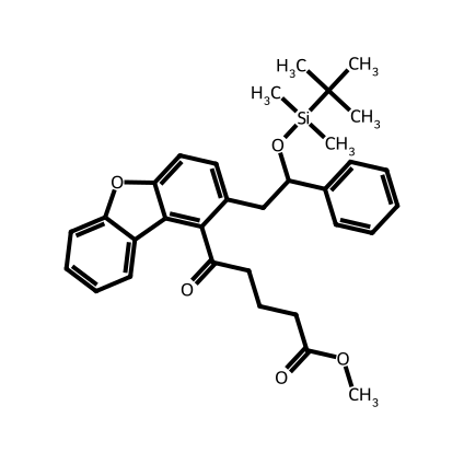 COC(=O)CCCC(=O)c1c(CC(O[Si](C)(C)C(C)(C)C)c2ccccc2)ccc2oc3ccccc3c12